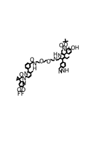 CCc1c(-c2ccc3[nH]ncc3c2)c(CNCCOCCOCCNC(=O)c2cccc(-c3nc(NC(=O)C4(c5ccc6c(c5)OC(F)(F)O6)CC4)ccc3C)c2)nc(CNC(=O)OC(C)(C)C)c1-c1ccc(O)cc1